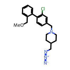 COCc1ccccc1-c1ccc(CN2CCC(CN=[N+]=[N-])CC2)cc1Cl